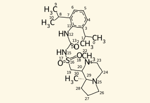 CC(C)c1cccc(C(C)C)c1NC(=O)NS(=O)(=O)CC1N(C)CCN2CCC[C@@]12C